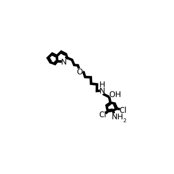 Nc1c(Cl)cc(C(O)CNCCCCCCOCCCc2ccc3ccccc3n2)cc1Cl